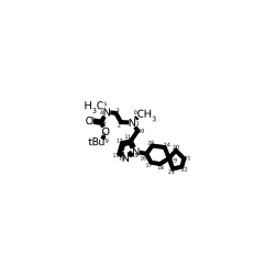 CN(CCN(C)C(=O)OC(C)(C)C)Cc1ccnn1C1CCC2(CCCC2)CC1